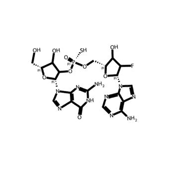 Nc1nc2c(ncn2[C@@H]2O[C@H](CO)C(O)C2O[P@](=O)(S)OC[C@H]2O[C@@H](n3cnc4c(N)ncnc43)C(F)C2O)c(=O)[nH]1